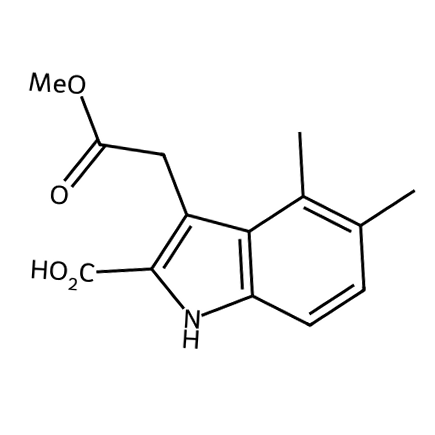 COC(=O)Cc1c(C(=O)O)[nH]c2ccc(C)c(C)c12